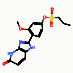 CCCS(=O)(=O)Oc1ccc(-c2nc3[nH]c(=O)ccc3[nH]2)c(OC)c1